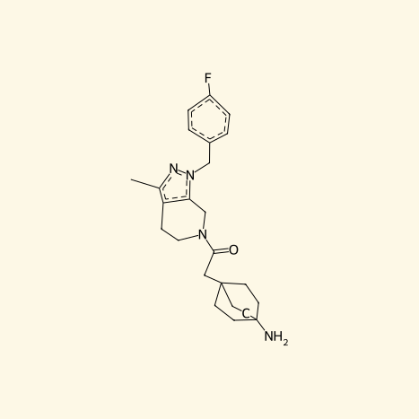 Cc1nn(Cc2ccc(F)cc2)c2c1CCN(C(=O)CC13CCC(N)(CC1)CC3)C2